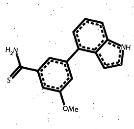 COc1cc(C(N)=S)cc(-c2cccc3[nH]ccc23)c1